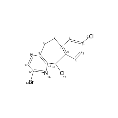 Clc1ccc2c(c1)CCc1ccc(Br)nc1C2Cl